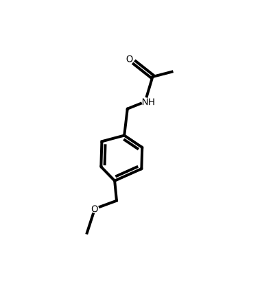 COCc1ccc(CNC(C)=O)cc1